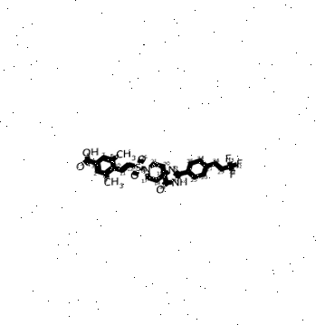 Cc1cc(C(=O)O)cc(C)c1C=CS(=O)(=O)N1CCC2(CC1)N=C(C1CCC(CCC(F)(F)F)CC1)NC2=O